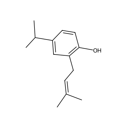 CC(C)=CCc1cc(C(C)C)ccc1O